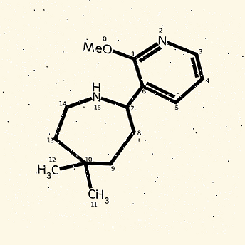 COc1ncccc1C1CCC(C)(C)CCN1